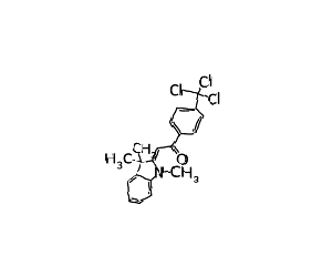 CN1C(=CC(=O)c2ccc(C(Cl)(Cl)Cl)cc2)C(C)(C)c2ccccc21